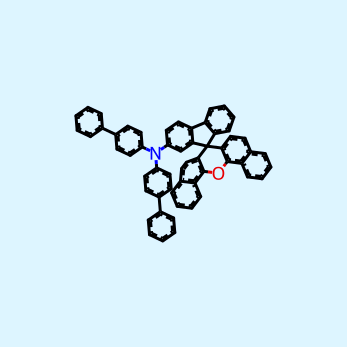 c1ccc(-c2ccc(N(c3ccc(-c4ccccc4)cc3)c3ccc4c(c3)C3(c5ccccc5-4)c4ccc5ccccc5c4Oc4c3ccc3ccccc43)cc2)cc1